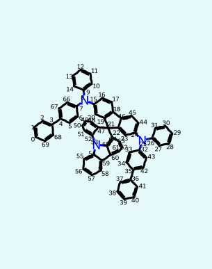 c1ccc(-c2ccc(N(c3ccccc3)c3ccc4c(c3)C3(c5cc(N(c6ccccc6)c6ccc(-c7ccccc7)cc6)ccc5-4)c4ccccc4-n4c5ccccc5c5cccc3c54)cc2)cc1